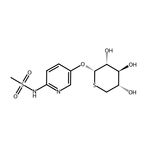 CS(=O)(=O)Nc1ccc(O[C@H]2SC[C@@H](O)[C@H](O)[C@H]2O)cn1